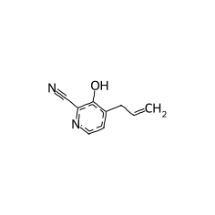 C=CCc1ccnc(C#N)c1O